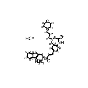 Cc1c(CN(C)C(=O)C=Cc2cnc3c(c2)CN(CCCN2CCOCC2)CC(=O)N3)sc2ccccc12.Cl